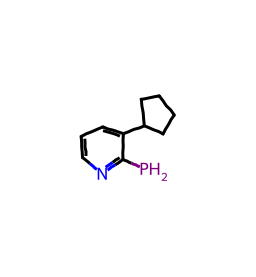 Pc1ncccc1C1CCCC1